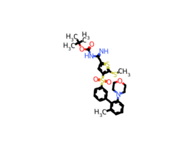 CSc1sc(C(=N)NC(=O)OC(C)(C)C)cc1S(=O)(=O)c1cccc(-c2c(C)cccc2N2CCOCC2)c1